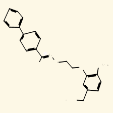 CC/C(=N\OCCOc1cc(CC(=O)O)ccc1OC)c1ccc(-c2ccccc2)cc1